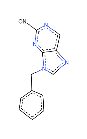 O=Nc1ncc2ncn(Cc3ccccc3)c2n1